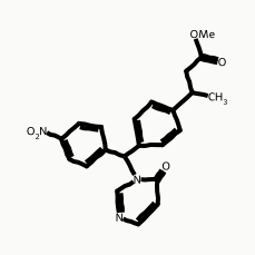 COC(=O)CC(C)c1ccc(C(c2ccc([N+](=O)[O-])cc2)n2cnccc2=O)cc1